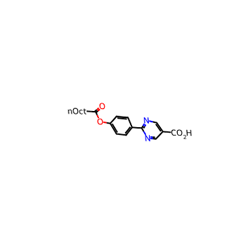 CCCCCCCCC(=O)Oc1ccc(-c2ncc(C(=O)O)cn2)cc1